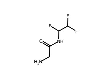 NCC(=O)NC(F)C(F)F